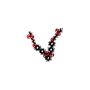 C=CC(=O)OCCCCOc1ccc(-c2ccc(C(=O)O[C@@H]3CCCC[C@H]3OC(=O)c3ccc(-c4ccc(OCCCCOC(=O)C=C)cc4)cc3)cc2)cc1